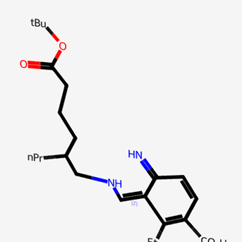 CCCC(CCCC(=O)OC(C)(C)C)CN/C=C1\C(=N)C=CC(C(=O)O)=C1CC